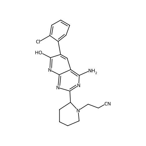 N#CCCN1CCCCC1c1nc(N)c2cc(-c3ccccc3Cl)c(O)nc2n1